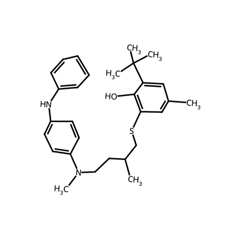 Cc1cc(SCC(C)CCN(C)c2ccc(Nc3ccccc3)cc2)c(O)c(C(C)(C)C)c1